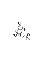 COC(=O)C1CCN(C(=O)OC)C(c2ccc(Cl)cc2F)C1